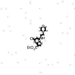 CCOC(=O)c1cnn2c(NCCN3CCOCC3)cc(Cl)nc12